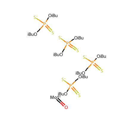 CC(C)COP(=S)([S-])OCC(C)C.CC(C)COP(=S)([S-])OCC(C)C.CC(C)COP(=S)([S-])OCC(C)C.CC(C)COP(=S)([S-])OCC(C)C.[O]=[Mo+4]